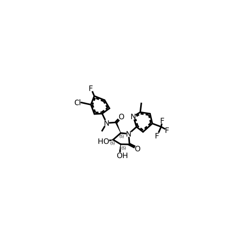 Cc1cc(C(F)(F)F)cc(N2C(=O)[C@@H](O)[C@@H](O)[C@H]2C(=O)N(C)c2ccc(F)c(Cl)c2)n1